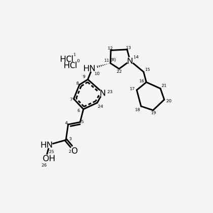 Cl.Cl.O=C(C=Cc1ccc(N[C@@H]2CCN(CC3CCCCC3)C2)nc1)NO